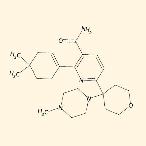 CN1CCN(C2(c3ccc(C(N)=O)c(C4=CCC(C)(C)CC4)n3)CCOCC2)CC1